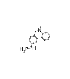 CN(Cc1ccc(PP)cc1)c1ccccc1